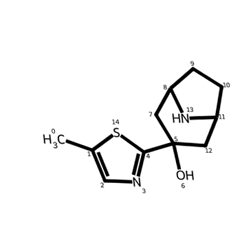 Cc1cnc(C2(O)CC3CCC(C2)N3)s1